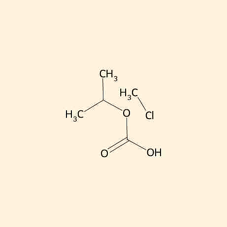 CC(C)OC(=O)O.CCl